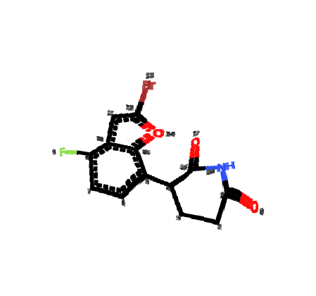 O=C1CCC(c2ccc(F)c3cc(Br)oc23)C(=O)N1